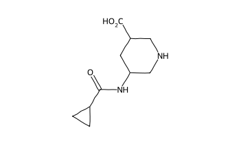 O=C(O)C1CNCC(NC(=O)C2CC2)C1